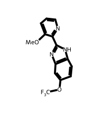 COc1cccnc1-c1nc2cc(OC(F)(F)F)ccc2[nH]1